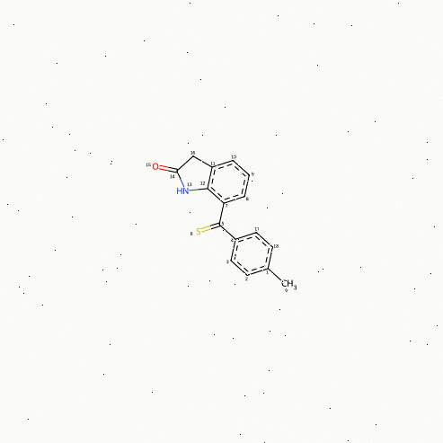 Cc1ccc(C(=S)c2cccc3c2NC(=O)C3)cc1